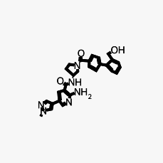 Cn1cc(-c2cnc(N)c(C(=O)N[C@@H]3CCN(C(=O)c4ccc(-c5ccccc5CO)cc4)C3)c2)cn1